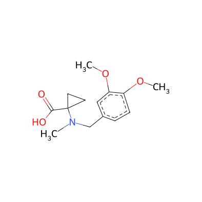 COc1ccc(CN(C)C2(C(=O)O)CC2)cc1OC